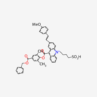 COc1ccc(C=Cc2ccc3c(c2)c(C(=O)Oc2c(C)cc(C(=O)OCc4ccccc4)cc2C)c2ccccc2[n+]3CCCCS(=O)(=O)O)cc1